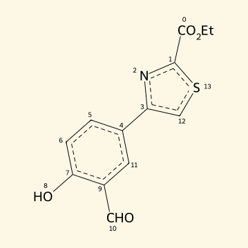 CCOC(=O)c1nc(-c2ccc(O)c(C=O)c2)cs1